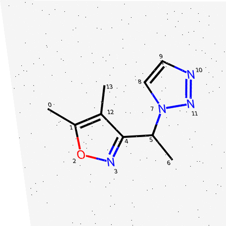 Cc1onc(C(C)n2c[c]nn2)c1C